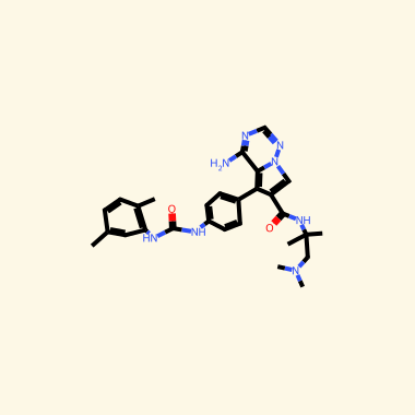 Cc1ccc(C)c(NC(=O)Nc2ccc(-c3c(C(=O)NC(C)(C)CN(C)C)cn4ncnc(N)c34)cc2)c1